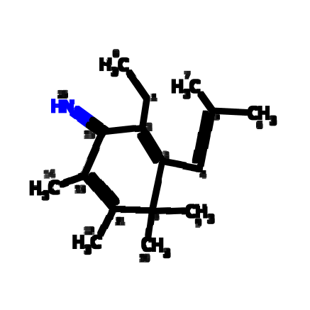 CCC1=C(C=C(C)C)C(C)(C)C(C)=C(C)C1=N